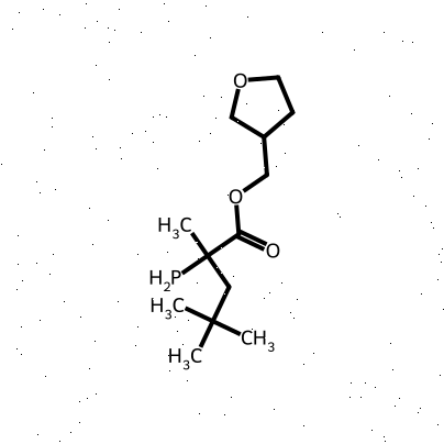 CC(C)(C)CC(C)(P)C(=O)OCC1CCOC1